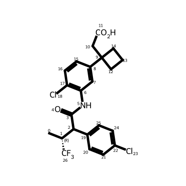 C[C@H](C(C(=O)Nc1cc(C2(CC(=O)O)CCC2)ccc1Cl)c1ccc(Cl)cc1)C(F)(F)F